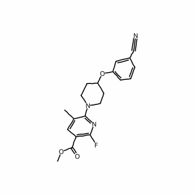 COC(=O)c1cc(C)c(N2CCC(Oc3cccc(C#N)c3)CC2)nc1F